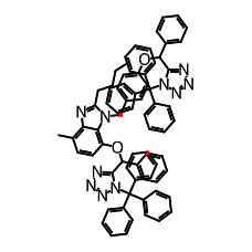 CCCCc1nc2c(C)ccc(OC(c3ccccc3)c3nnnn3C(c3ccccc3)(c3ccccc3)c3ccccc3)c2n1Cc1ccc(OC(c2ccccc2)c2nnnn2C(c2ccccc2)(c2ccccc2)c2ccccc2)cc1